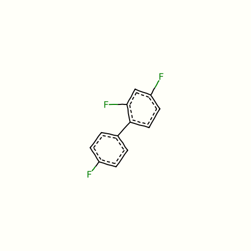 Fc1ccc(-c2ccc(F)cc2F)cc1